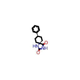 O=C1NC(=O)[C@]2(CC[C@H](c3ccccc3)CC2)N1